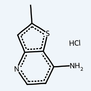 Cc1cc2nccc(N)c2s1.Cl